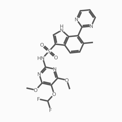 COc1nc(NS(=O)(=O)c2c[nH]c3c(-c4ncccn4)c(C)ccc23)nc(OC)c1OC(F)F